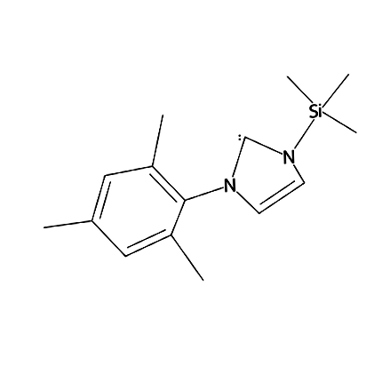 Cc1cc(C)c(N2[C]N([Si](C)(C)C)C=C2)c(C)c1